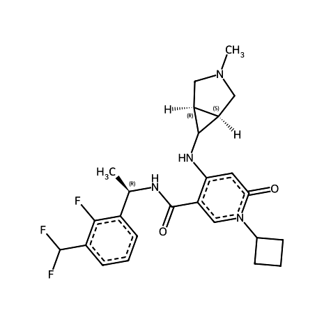 C[C@@H](NC(=O)c1cn(C2CCC2)c(=O)cc1NC1[C@H]2CN(C)C[C@@H]12)c1cccc(C(F)F)c1F